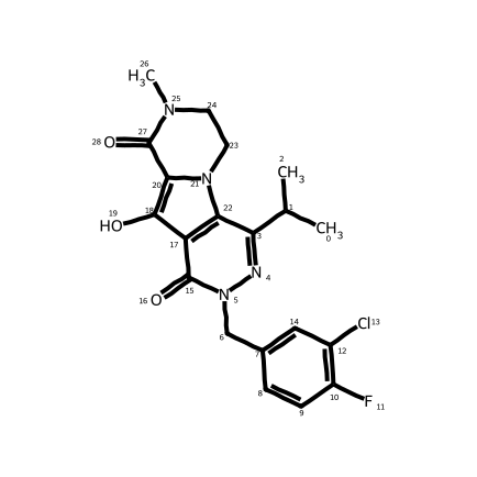 CC(C)c1nn(Cc2ccc(F)c(Cl)c2)c(=O)c2c(O)c3n(c12)CCN(C)C3=O